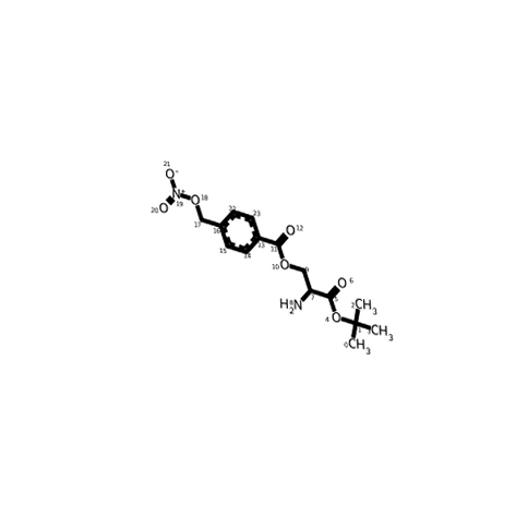 CC(C)(C)OC(=O)C(N)COC(=O)c1ccc(CO[N+](=O)[O-])cc1